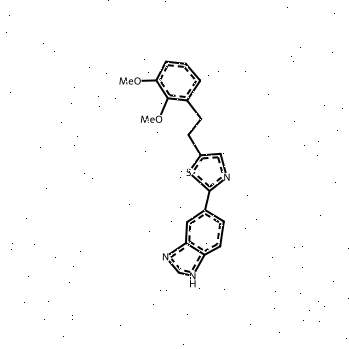 COc1cccc(CCc2cnc(-c3ccc4[nH]cnc4c3)s2)c1OC